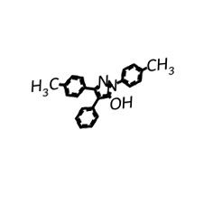 Cc1ccc(-c2nn(-c3ccc(C)cc3)c(O)c2-c2ccccc2)cc1